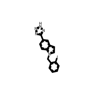 Ic1ccccc1Cn1ccc2cc(-c3nn[nH]n3)ccc21